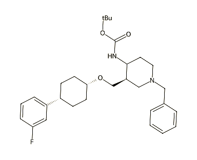 CC(C)(C)OC(=O)NC1CCN(Cc2ccccc2)C[C@H]1CO[C@H]1CC[C@@H](c2cccc(F)c2)CC1